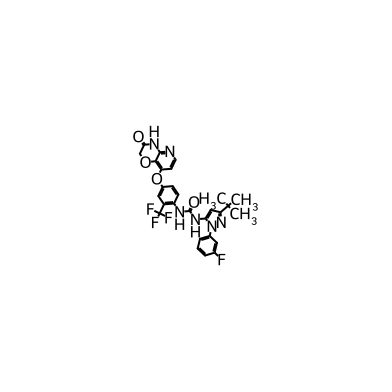 CC(C)(C)c1cc(NC(=O)Nc2ccc(Oc3ccnc4c3OCC(=O)N4)cc2C(F)(F)F)n(-c2cccc(F)c2)n1